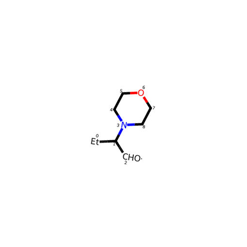 CCC([C]=O)N1CCOCC1